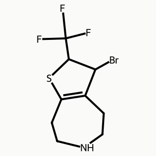 FC(F)(F)C1SC2=C(CCNCC2)C1Br